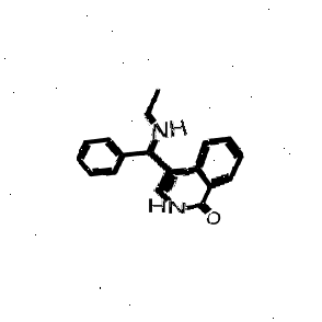 CCNC(c1ccccc1)c1c[nH]c(=O)c2ccccc12